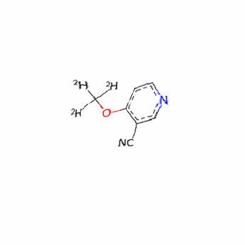 [2H]C([2H])([2H])Oc1ccncc1C#N